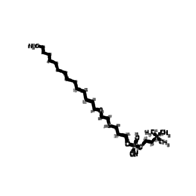 CCCCCCCCCCCCCCCOCCSCCCOP(=O)(O)OCC[N+](C)(C)C